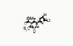 COC(=O)C1=CC(c2cc(Br)c(Cl)s2)=N[S+]([O-])N1C